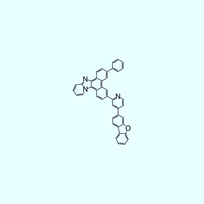 c1ccc(-c2ccc3c(c2)c2cc(-c4cc(-c5ccc6c(c5)oc5ccccc56)ccn4)ccc2c2c3nc3ccccn32)cc1